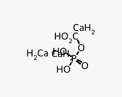 O=C(O)OP(=O)(O)O.[CaH2].[CaH2].[CaH2]